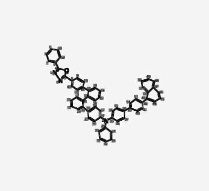 c1ccc(-c2nnc(-c3ccc(-c4ccccc4-c4ccccc4-c4ccc(N(c5ccccc5)c5ccc(-c6ccc(-c7cccc8ccccc78)cc6)cc5)cc4)cc3)o2)cc1